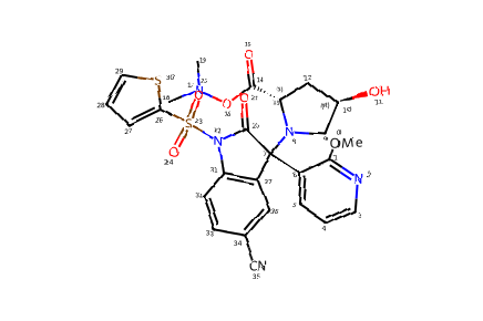 COc1ncccc1C1(N2C[C@H](O)C[C@H]2C(=O)ON(C)C)C(=O)N(S(=O)(=O)c2cccs2)c2ccc(C#N)cc21